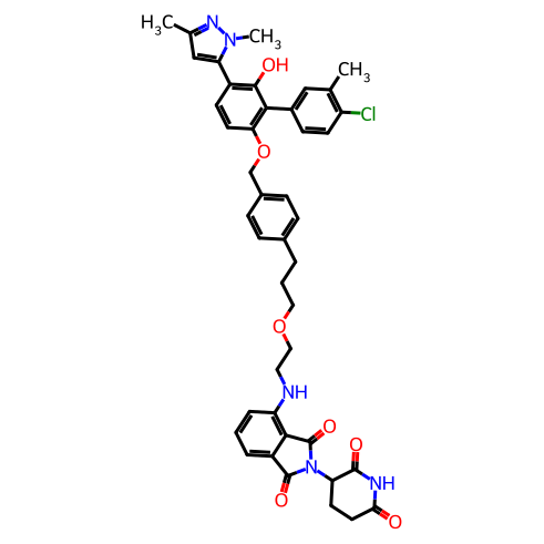 Cc1cc(-c2ccc(OCc3ccc(CCCOCCNc4cccc5c4C(=O)N(C4CCC(=O)NC4=O)C5=O)cc3)c(-c3ccc(Cl)c(C)c3)c2O)n(C)n1